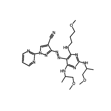 COCCCNc1nc(NC(C)COC)nc(NC(C)COC)c1N=Nc1nn(-c2ncccn2)cc1C#N